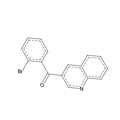 O=C(c1cnc2ccccc2c1)c1ccccc1Br